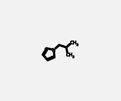 CC(C)Cn1[c]ccc1